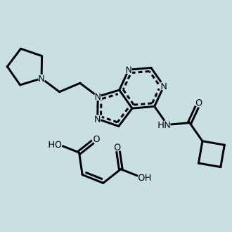 O=C(Nc1ncnc2c1cnn2CCN1CCCC1)C1CCC1.O=C(O)/C=C\C(=O)O